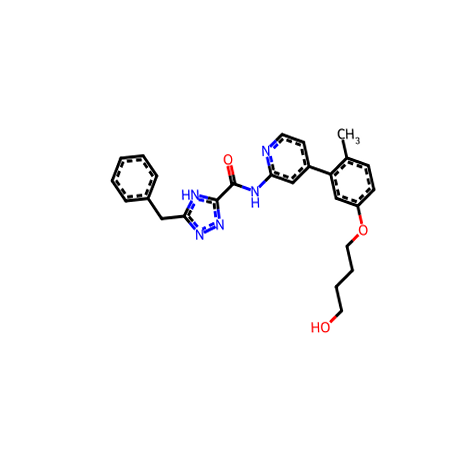 Cc1ccc(OCCCCO)cc1-c1ccnc(NC(=O)c2nnc(Cc3ccccc3)[nH]2)c1